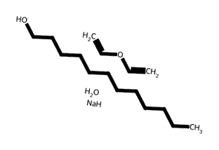 C=COC=C.CCCCCCCCCCCCO.O.[NaH]